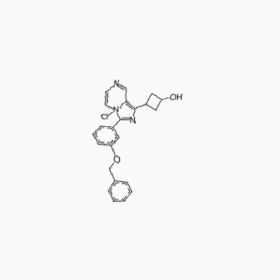 OC1CC(C2=C3C=NC=C[N+]3(Cl)C(c3cccc(OCc4ccccc4)c3)=N2)C1